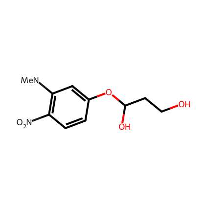 CNc1cc(OC(O)CCO)ccc1[N+](=O)[O-]